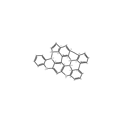 c1ccc2c(c1)Oc1cc3c4c5c1B2n1ccc2cc6c7cccc8c7n(c6c-5c21)B4c1c(cccc1-8)O3